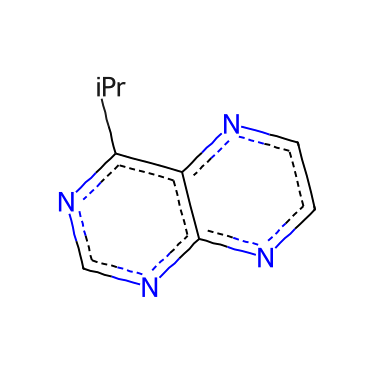 CC(C)c1ncnc2nccnc12